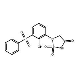 O=C1CN(c2cccc(S(=O)(=O)c3ccccc3)c2O)S(=O)(=O)N1